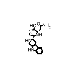 NC(=O)C[C@H](NC(=O)[C@@H]1Cc2c([nH]c3ccccc23)CN1)C(=O)O